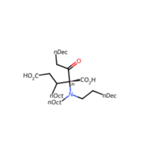 CCCCCCCCCCCCN(CCCCCCCC)[C@@](C(=O)O)(C(=O)CCCCCCCCCCC)C(CCCCCCCC)CC(=O)O